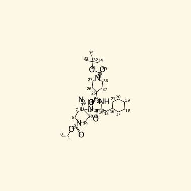 CCOC(=O)N1CCC(C#N)(NC(=O)[C@H](CC2CCCCC2)NC(=O)C2CCN(C(=O)OC(C)(C)C)CC2)CC1